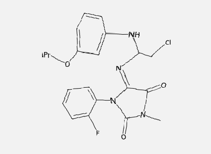 CC(C)Oc1cccc(NC(CCl)N=C2C(=O)N(C)C(=O)N2c2ccccc2F)c1